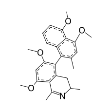 COc1cc(OC)c(-c2c(C)cc(OC)c3c(OC)cccc23)c2c1C(C)=NC(C)C2